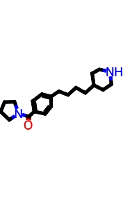 O=C(c1ccc(CCCCC2CCNCC2)cc1)N1CCCC1